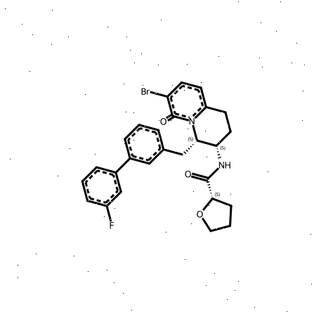 O=C(N[C@H]1CCc2ccc(Br)c(=O)n2[C@H]1Cc1cccc(-c2cccc(F)c2)c1)[C@@H]1CCCO1